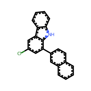 Clc1cc(-c2ccc3ccccc3c2)c2[nH]c3ccccc3c2c1